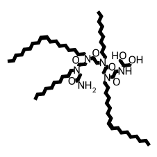 CCCCCCCC/C=C\CCCCCCCCN(CC(=O)N(CCCCCCCCCC)CC(=O)N(CCCCCCCC/C=C\CCCCCCCC)CC(=O)N(CCCCCCCCCC)CC(N)=O)C(=O)CNC(CO)CO